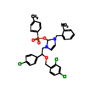 Cc1ccc(S(=O)(=O)OC2N(Cc3ccccc3[N+](=O)[O-])C=CN2CC(OCc2ccc(Cl)cc2Cl)c2ccc(Cl)cc2)cc1